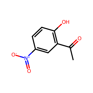 CC(=O)c1cc([N+](=O)[O-])ccc1O